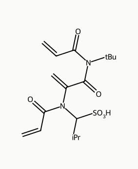 C=CC(=O)N(C(=C)C(=O)N(C(=O)C=C)C(C)(C)C)C(C(C)C)S(=O)(=O)O